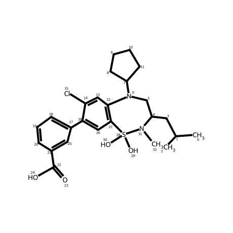 CC(C)CC1CN(C2CCCC2)c2cc(Cl)c(-c3cccc(C(=O)O)c3)cc2S(O)(O)N1C